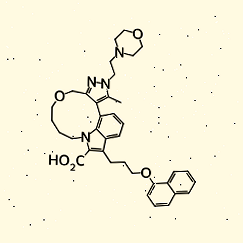 Cc1c2c(nn1CCN1CCOCC1)COCCCCn1c(C(=O)O)c(CCCOc3cccc4ccccc34)c3cccc-2c31